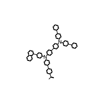 C=C(C)c1ccc(-c2ccc(N(c3ccc(-c4ccc(N(c5ccc(-c6ccccc6)cc5)c5ccc(-c6ccccc6)cc5)cc4)cc3)c3ccc(-c4cccc5ccccc45)cc3)cc2)cc1